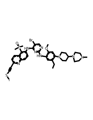 CCc1cc(Nc2ncc(Br)c(Nc3ccc4nc(C#CSI)ccc4c3P(C)(C)=O)n2)c(OC)cc1N1CCC(N2CCN(C)CC2)CC1